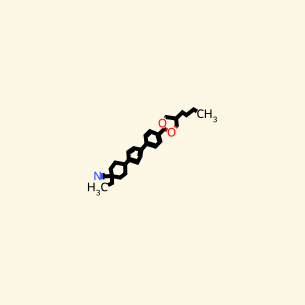 CCCCC1COC(c2ccc(-c3ccc(C4CCC(C#N)(CC)CC4)cc3)cc2)OC1